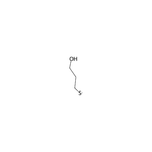 OCCC[S]